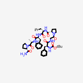 CC(C)C[C@H](NC(=O)[C@@H]1CCCN1C(=O)CNC(=O)[C@H](Cc1ccccc1)NC(=O)OC(C)(C)C)C(=O)N[C@@H](Cc1ccccc1)C(=O)N[C@@H](C)C(=O)N1CCC[C@H]1C(N)=O